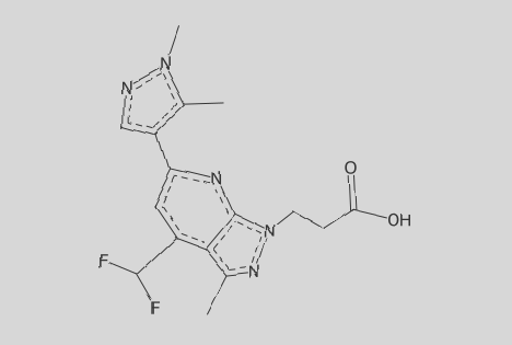 Cc1nn(CCC(=O)O)c2nc(-c3cnn(C)c3C)cc(C(F)F)c12